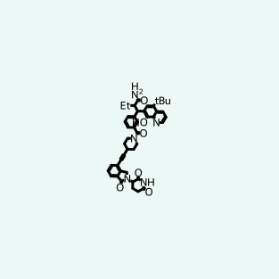 CCC(C(N)=O)C(c1cccc(C(=O)N2CCC(C#Cc3cccc4c3CN(C3CCC(=O)NC3=O)C4=O)CC2)c1)c1cc(C(C)(C)C)c2cccnc2c1O